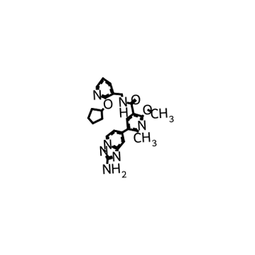 COc1nc(C)c(-c2ccn3nc(N)nc3c2)cc1C(=O)NCc1cccnc1OC1CCCC1